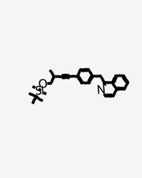 CC(C#Cc1ccc(Cc2nccc3ccccc23)cc1)CO[Si](C)(C)C(C)(C)C